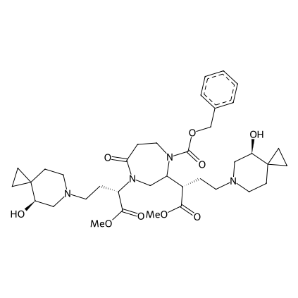 COC(=O)[C@@H](CCN1CCC2(CC2)[C@H](O)C1)C1CN([C@@H](CCN2CCC3(CC3)[C@H](O)C2)C(=O)OC)C(=O)CCN1C(=O)OCc1ccccc1